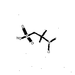 CC(C)(CS(=O)(=O)O)N(Cl)I